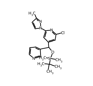 Cc1ccn(-c2cc(C(O[Si](C)(C)C(C)(C)C)c3cccnc3)cc(Cl)n2)n1